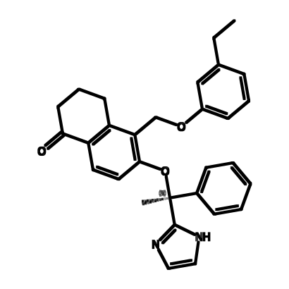 CCc1cccc(OCc2c(O[C@@](C)(c3ccccc3)c3ncc[nH]3)ccc3c2CCCC3=O)c1